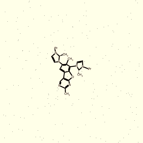 Cc1ncc2c(n1)oc1c(N3C=CN(C(C)C)[C@@H]3C)c(C)c(N3C=CN(C(C)C)[C@H]3C)cc12